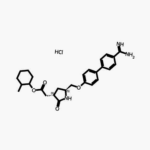 CC1CCCCC1OC(=O)C[C@@H]1C[C@@H](COc2ccc(-c3ccc(C(=N)N)cc3)cc2)NC1=O.Cl